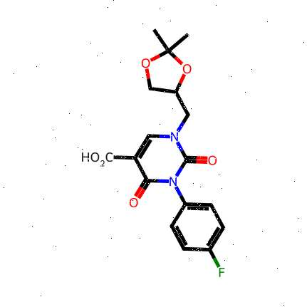 CC1(C)OCC(Cn2cc(C(=O)O)c(=O)n(-c3ccc(F)cc3)c2=O)O1